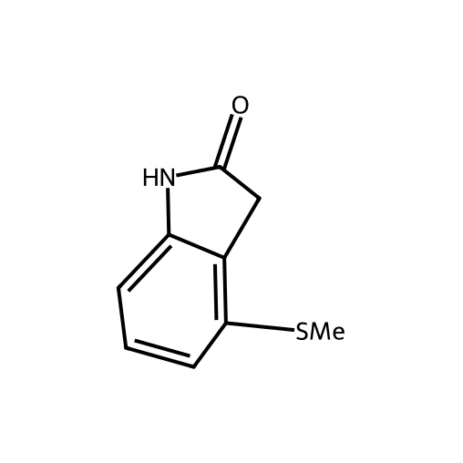 CSc1cccc2c1CC(=O)N2